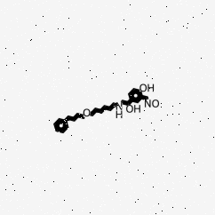 O=NCc1cc(C(O)CNCCCCCCOCCCCc2ccccc2)ccc1O